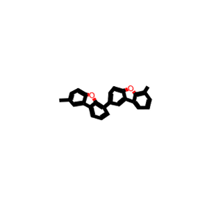 Cc1ccc2oc3c(-c4ccc5oc6c(C)cccc6c5c4)cccc3c2c1